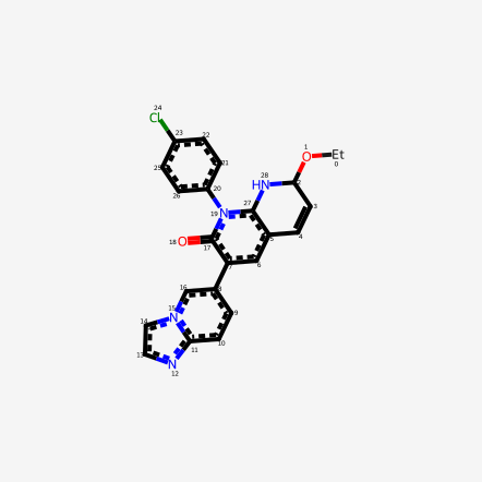 CCOC1C=Cc2cc(-c3ccc4nccn4c3)c(=O)n(-c3ccc(Cl)cc3)c2N1